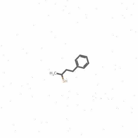 [CH2]C(S)CCc1ccccc1